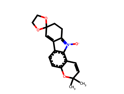 CC1(C)C=Cc2c(ccc3c2[N+]([O-])=C2CCC4(C=C23)OCCO4)O1